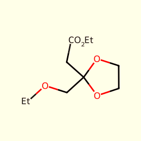 CCOCC1(CC(=O)OCC)OCCO1